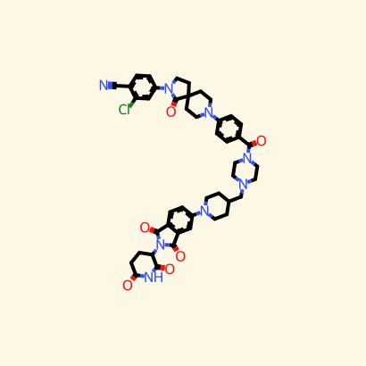 N#Cc1ccc(N2CCC3(CCN(c4ccc(C(=O)N5CCN(CC6CCN(c7ccc8c(c7)C(=O)N(C7CCC(=O)NC7=O)C8=O)CC6)CC5)cc4)CC3)C2=O)cc1Cl